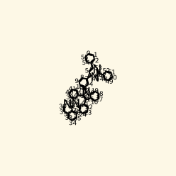 c1ccc(-c2cc(-c3cccc(-n4c5c(c6ccccc64)-c4ccccc4N(c4nccc6ccccc46)c4ccccc4-5)c3)nc(-c3ccccc3)n2)cc1